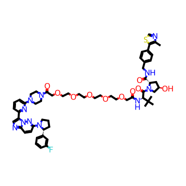 Cc1ncsc1-c1ccc(CNC(=O)[C@@H]2C[C@@H](O)CN2C(=O)[C@@H](NC(=O)COCCOCCOCCOCCOCC(=O)N2CCN(c3cccc(-c4cnc5ccc(N6CCC[C@@H]6c6cccc(F)c6)nn45)n3)CC2)C(C)(C)C)cc1